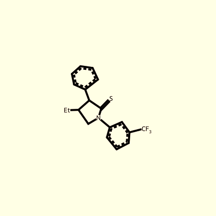 CCC1CN(c2cccc(C(F)(F)F)c2)C(=S)C1c1ccccc1